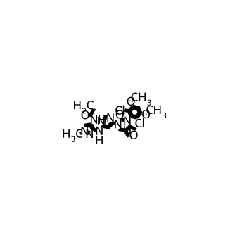 C=CC(=O)Nc1cn(C)nc1Nc1cc(N(CC2CCOC2)C(=O)Nc2c(Cl)c(OC)cc(OC)c2Cl)ncn1